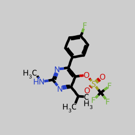 CNc1nc(-c2ccc(F)cc2)c(OS(=O)(=O)C(F)(F)F)c(C(C)C)n1